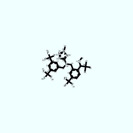 COC(c1ccc(C(F)(F)F)cc1CN(Cc1cc(C(F)(F)F)cc(C(F)(F)F)c1)c1nnn(C)n1)C(C)(C)C